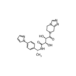 C[C@@H](NC(=O)[C@H](O)[C@@H](O)C(=O)N1CCn2cnnc2C1)c1ccc(-n2cccn2)cc1